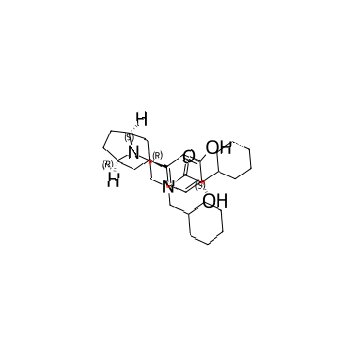 O=C([C@@H](O)C1CCCCC1)N(CCN1[C@@H]2CC[C@H]1C[C@@H](c1cccc(O)c1)C2)CC1CCCCC1